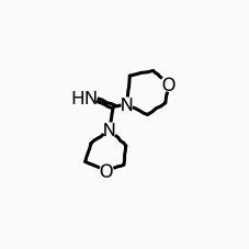 N=C(N1CCOCC1)N1CCOCC1